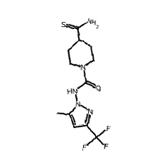 Cc1cc(C(F)(F)F)nn1NC(=O)N1CCC(C(N)=S)CC1